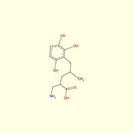 CC(Cc1c(O)ccc(O)c1O)CC(CN)C(=O)O